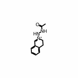 CC(=O)NN[N+]1=Cc2ccccc2CC1